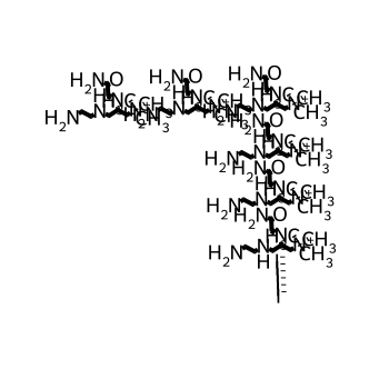 C[N+](C)(C)CC(CNCCN)N=CC(N)=O.C[N+](C)(C)CC(CNCCN)N=CC(N)=O.C[N+](C)(C)CC(CNCCN)N=CC(N)=O.C[N+](C)(C)CC(CNCCN)N=CC(N)=O.C[N+](C)(C)CC(CNCCN)N=CC(N)=O.C[N+](C)(C)CC(CNCCN)N=CC(N)=O.[I-].[I-].[I-].[I-].[I-].[I-]